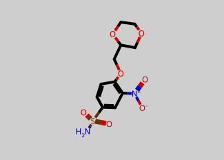 NS(=O)(=O)c1ccc(OCC2COCCO2)c([N+](=O)[O-])c1